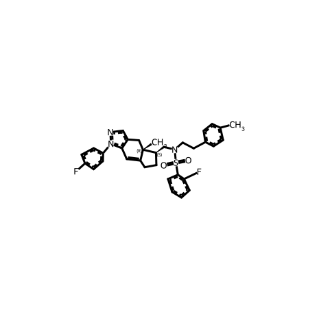 Cc1ccc(CCN(C[C@H]2CCC3=Cc4c(cnn4-c4ccc(F)cc4)C[C@@]32C)S(=O)(=O)c2ccccc2F)cc1